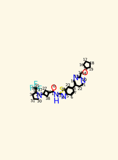 O=C(Nc1nc2ccc(C3=CN=C(COC4CCCC4)N=CC3)cc2s1)C1CC(N2CCCC2C(F)(F)F)C1